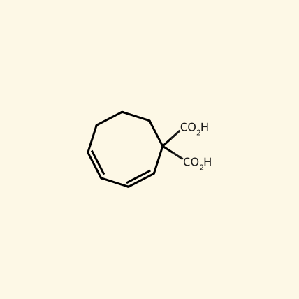 O=C(O)C1(C(=O)O)C=CC=CCCC1